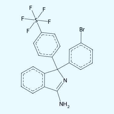 NC1=NC(c2ccc(S(F)(F)(F)(F)F)cc2)(c2cccc(Br)c2)c2ccccc21